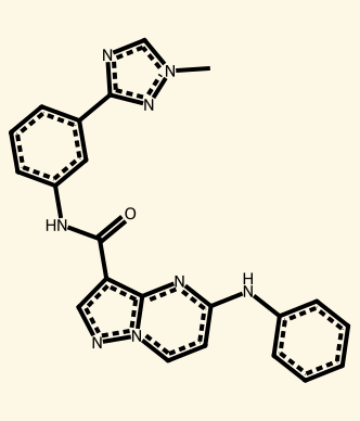 Cn1cnc(-c2cccc(NC(=O)c3cnn4ccc(Nc5ccccc5)nc34)c2)n1